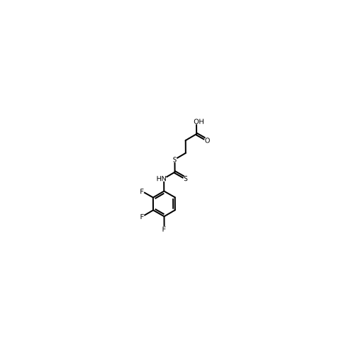 O=C(O)CCSC(=S)Nc1ccc(F)c(F)c1F